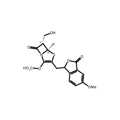 COc1ccc2c(c1)C(=O)OC2CC1=C(OC(=O)O)N2C(=O)[C@H](CO)[C@H]2S1